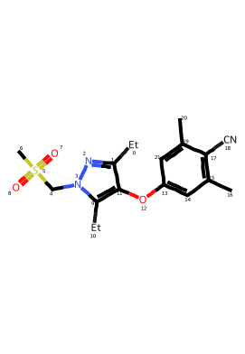 CCc1nn(CS(C)(=O)=O)c(CC)c1Oc1cc(C)c(C#N)c(C)c1